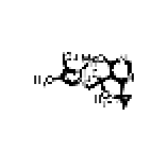 COc1ncnc(C2(C)CC2)c1C(C)(C)C[n+]1cc(C)c(C(C)(C)C)n1C(C)C